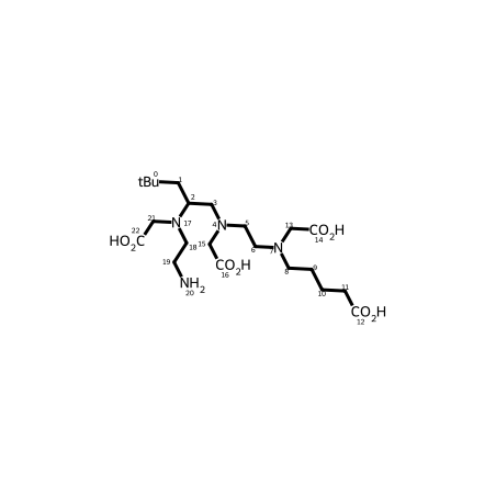 CC(C)(C)CC(CN(CCN(CCCCC(=O)O)CC(=O)O)CC(=O)O)N(CCN)CC(=O)O